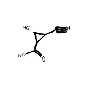 Cl.N#CC1CC1C(=O)O